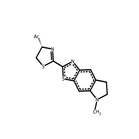 CC(=O)[C@H]1CSC(c2nc3cc4c(cc3s2)N(C)CC4)=N1